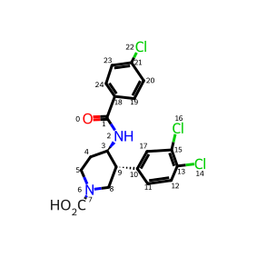 O=C(N[C@@H]1CCN(C(=O)O)C[C@H]1c1ccc(Cl)c(Cl)c1)c1ccc(Cl)cc1